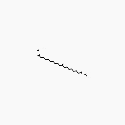 CCCCCCCCC(CCCCCCCC)OC(=O)CCCCCCCC(=O)CCCCCCCCCC(=O)OC(C)CCCCCC